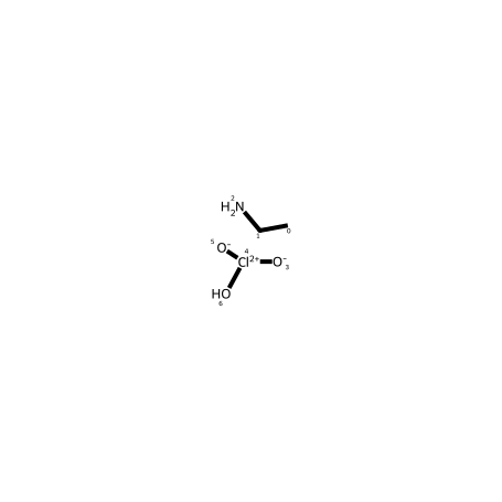 CCN.[O-][Cl+2]([O-])O